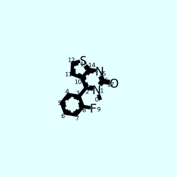 Cn1c(-c2ccccc2F)c2ccsc2nc1=O